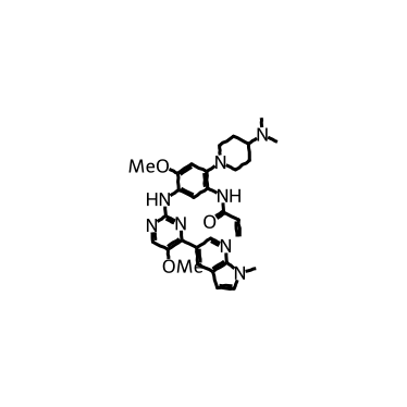 C=CC(=O)Nc1cc(Nc2ncc(OC)c(-c3cnc4c(ccn4C)c3)n2)c(OC)cc1N1CCC(N(C)C)CC1